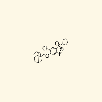 O=S(=O)(c1cc(Cl)c(OCC23CC4CC(CC(C4)C2)C3)cc1F)C1CCCC1